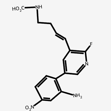 Nc1cc([N+](=O)[O-])ccc1-c1cnc(F)c(C=CCCNC(=O)O)c1